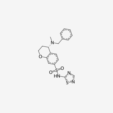 CN(Cc1ccccc1)[C@H]1CCOc2cc(S(=O)(=O)Nc3ncns3)ccc21